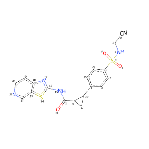 N#CCNS(=O)(=O)c1ccc(C2CC2C(=O)Nc2nc3ccncc3s2)cc1